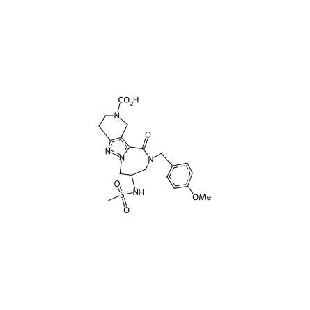 COc1ccc(CN2CC(NS(C)(=O)=O)Cn3nc4c(c3C2=O)CN(C(=O)O)CC4)cc1